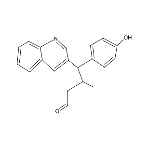 CC(CC=O)C(c1ccc(O)cc1)c1cnc2ccccc2c1